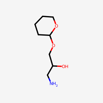 NCC(O)COC1CCCCO1